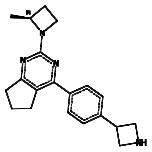 C[C@H]1CCN1c1nc2c(c(-c3ccc(C4CNC4)cc3)n1)CCC2